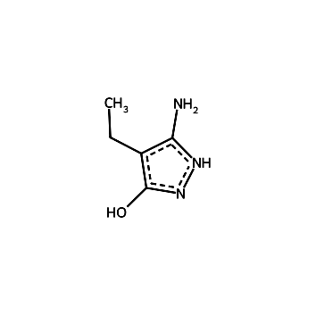 CCc1c(O)n[nH]c1N